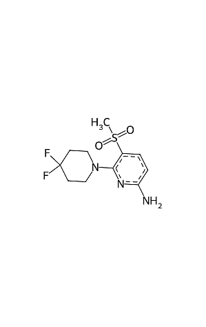 CS(=O)(=O)c1ccc(N)nc1N1CCC(F)(F)CC1